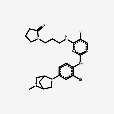 CCc1cc(N2CC3CC2CN3C)ccc1Nc1ncc(Cl)c(NCCCN2CCCC2=O)n1